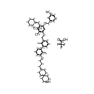 Cc1c(COc2cc(OCc3cncc(C#N)c3)c(CN3CCCC[C@H]3C(=O)O)cc2Cl)cccc1-c1cccc(OCCCN2CCC3(CCNCC3)CC2)c1C.O=C(O)C(F)(F)F